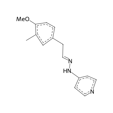 COc1ccc(C/C=N/Nc2ccncc2)cc1C